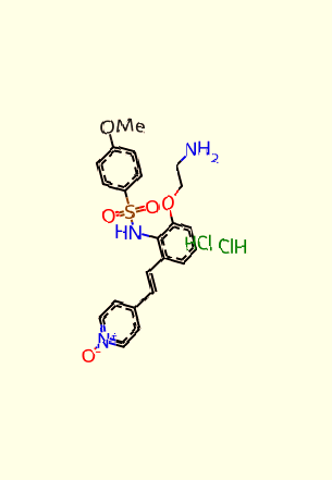 COc1ccc(S(=O)(=O)Nc2c(C=Cc3cc[n+]([O-])cc3)cccc2OCCN)cc1.Cl.Cl